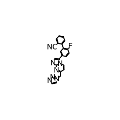 N#Cc1ccccc1-c1cc(-c2cnc3nc(Cn4ccnn4)ccn23)ccc1F